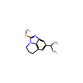 COc1nc2cc(C(C)C)cc3c2n1CCC3